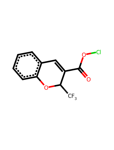 O=C(OCl)C1=Cc2ccccc2OC1C(F)(F)F